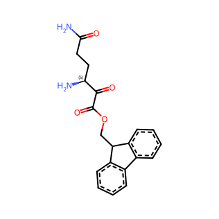 NC(=O)CC[C@H](N)C(=O)C(=O)OCC1c2ccccc2-c2ccccc21